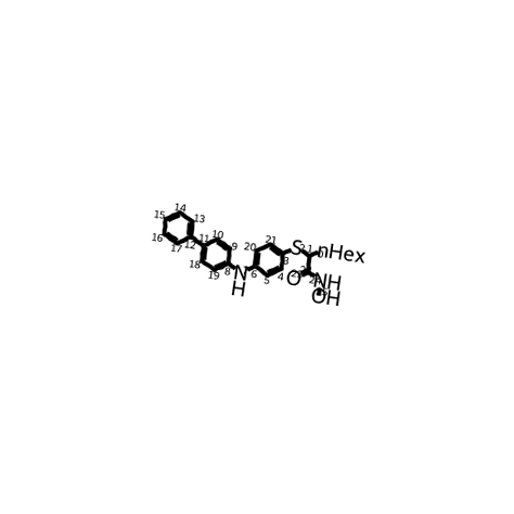 CCCCCCC(Sc1ccc(Nc2ccc(-c3ccccc3)cc2)cc1)C(=O)NO